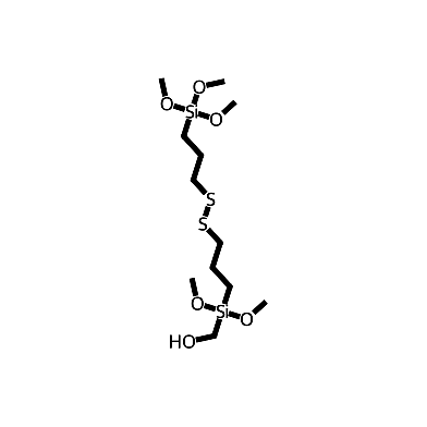 CO[Si](CO)(CCCSSCCC[Si](OC)(OC)OC)OC